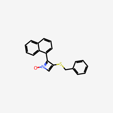 [O-][N+]1=C(c2cccc3ccccc23)C(SCc2ccccc2)=C1